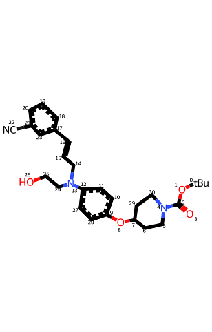 CC(C)(C)OC(=O)N1CCC(Oc2ccc(N(CC=Cc3cccc(C#N)c3)CCO)cc2)CC1